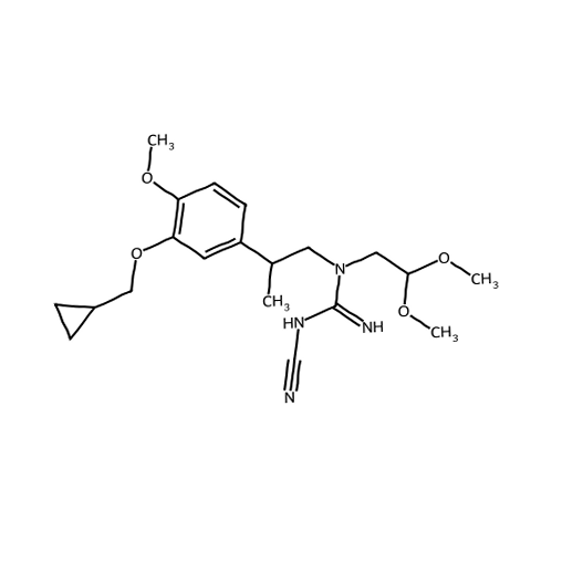 COc1ccc(C(C)CN(CC(OC)OC)C(=N)NC#N)cc1OCC1CC1